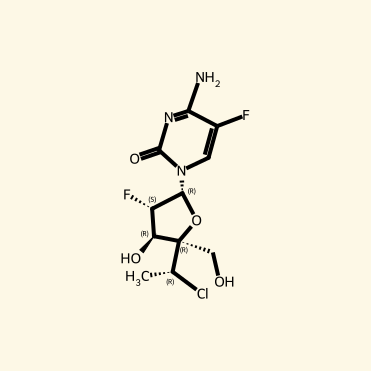 C[C@@H](Cl)[C@]1(CO)O[C@@H](n2cc(F)c(N)nc2=O)[C@@H](F)[C@@H]1O